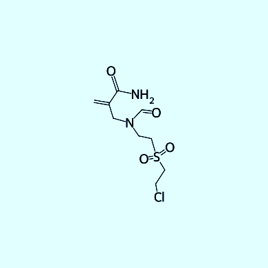 C=C(CN(C=O)CCS(=O)(=O)CCCl)C(N)=O